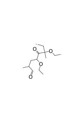 [CH2]CC(C)(OCC)C(=O)C(CC(C)C=O)OCC